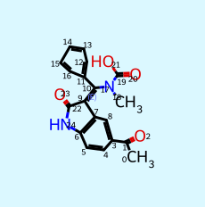 CC(=O)c1ccc2c(c1)/C(=C(/c1ccccc1)N(C)C(=O)O)C(=O)N2